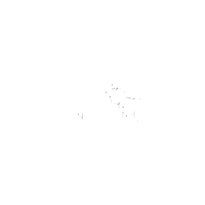 CCN(CC)CCOc1nnc(C)c(=O)n1N